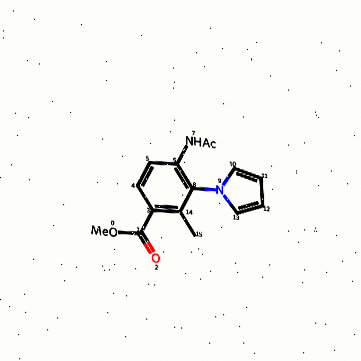 COC(=O)c1ccc(NC(C)=O)c(-n2cccc2)c1C